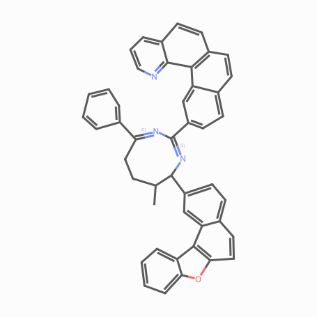 CC1CC/C(c2ccccc2)=N\C(c2ccc3ccc4ccc5cccnc5c4c3c2)=N/C1c1ccc2ccc3oc4ccccc4c3c2c1